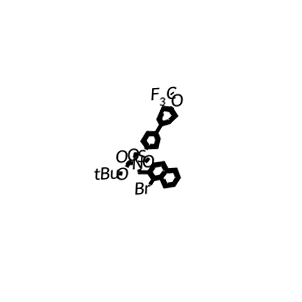 CC(C)(C)OC(=O)N(Cc1ccc2ccccc2c1Br)S(=O)(=O)c1ccc(-c2ccc(OC(F)(F)F)cc2)cc1